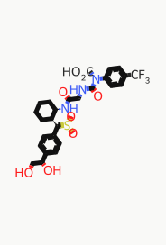 O=C(CNC(=O)N(C(=O)O)c1ccc(C(F)(F)F)cc1)N[C@H]1CCCC[C@H]1C(c1ccc(C(O)CO)cc1)=S(=O)=O